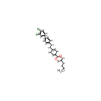 C=CCCC1COC(C2CCC(CCc3ccc(-c4ccc(F)c(F)c4)cc3)CC2)OC1